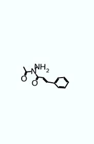 CC(=O)N(N)C(=O)/C=C/c1ccccc1